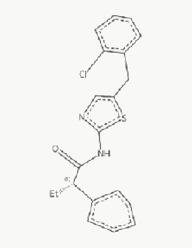 CC[C@H](C(=O)Nc1ncc(Cc2ccccc2Cl)s1)c1ccccc1